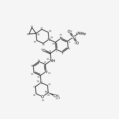 CNS(=O)(=O)c1ccc(C(=O)Nc2cccc(N3CCO[C@H](C)C3)n2)c(N2CCC3(CC2)CC3)n1